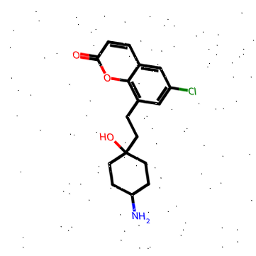 NC1CCC(O)(CCc2cc(Cl)cc3ccc(=O)oc23)CC1